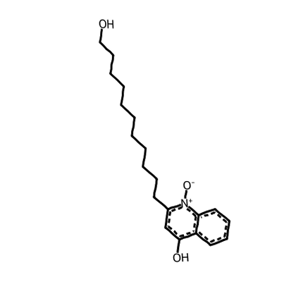 [O-][n+]1c(CCCCCCCCCCCO)cc(O)c2ccccc21